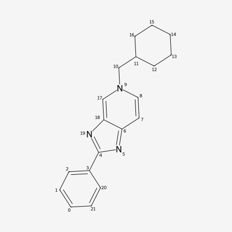 c1ccc(-c2nc3ccn(CC4CCCCC4)cc-3n2)cc1